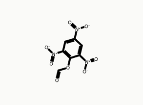 O=COc1c([N+](=O)[O-])cc([N+](=O)[O-])cc1[N+](=O)[O-]